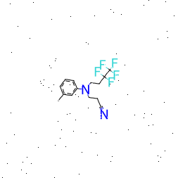 Cc1cccc(N(CCC#N)CCC(F)(F)C(F)(F)F)c1